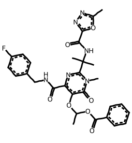 Cc1nnc(C(=O)NC(C)(C)c2nc(C(=O)NCc3ccc(F)cc3)c(OC(C)OC(=O)c3ccccc3)c(=O)n2C)o1